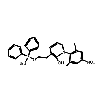 Cc1cc([N+](=O)[O-])cc(C)c1N1CC=CC(CCO[Si](c2ccccc2)(c2ccccc2)C(C)(C)C)=C1O